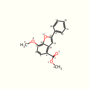 COC(=O)c1ccc(OC)c2oc(-c3ccccc3)cc12